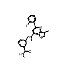 CNC(=O)c1cccc(CNc2cc(-c3ccccc3F)nc3c(C)cnn23)c1